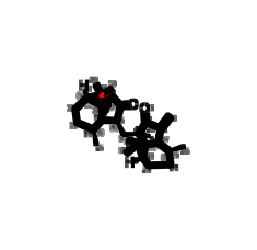 C=C1C(=O)[C@H](C[C@@H]2C(=O)C[C@H]3[C@@H]4CC[C@H](C)[C@]23CC4(C)C)[C@H]2[C@@H]3CC[C@H](C)[C@]12CC3(C)C